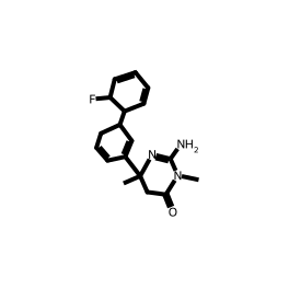 CN1C(=O)CC(C)(C2=CC(C3C=CC=CC3F)CC=C2)N=C1N